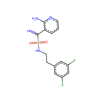 N=C(c1cccnc1N)S(=O)(=O)NCCc1cc(F)cc(F)c1